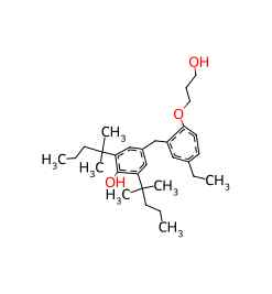 CCCC(C)(C)c1cc(Cc2cc(CC)ccc2OCCCO)cc(C(C)(C)CCC)c1O